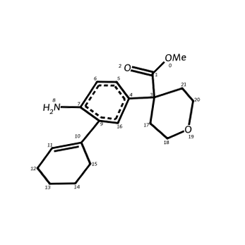 COC(=O)C1(c2ccc(N)c(C3=CCCCC3)c2)CCOCC1